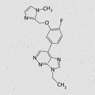 CCn1cnc2c(-c3ccc(F)c(OCc4nccn4C)c3)cnnc21